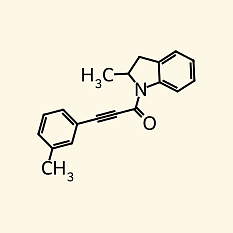 Cc1cccc(C#CC(=O)N2c3ccccc3CC2C)c1